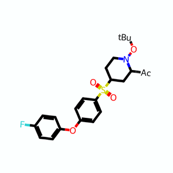 CC(=O)C1CC(S(=O)(=O)c2ccc(Oc3ccc(F)cc3)cc2)CCN1OC(C)(C)C